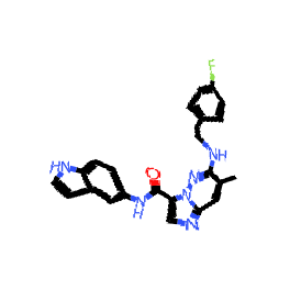 Cc1cc2ncc(C(=O)Nc3ccc4[nH]ccc4c3)n2nc1NCc1ccc(F)cc1